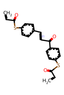 C=CC(=O)Sc1ccc(/C=C/C(=O)c2ccc(SC(=O)C=C)cc2)cc1